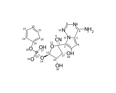 N#C[C@@]1(c2ccc3c(N)ncnn23)O[C@H](OP(=O)(O)Oc2ccccc2)[C@@H](O)[C@H]1O